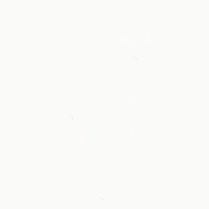 COc1cc(C(=O)N(Cc2ccc3ccc(C#N)cc3c2)c2ccccc2)ccc1OC1CCN(C(=O)OC(C)(C)C)CC1